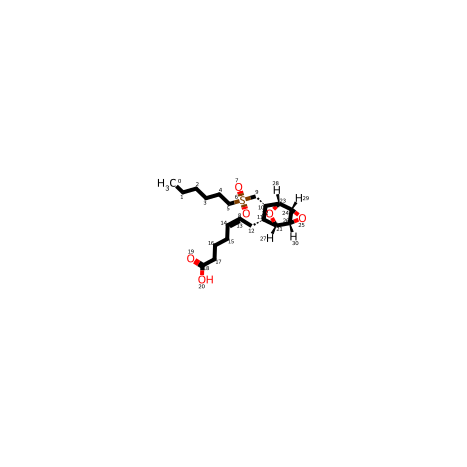 CCCCCCS(=O)(=O)C[C@H]1[C@@H](C/C=C\CCCC(=O)O)[C@@H]2O[C@H]1[C@@H]1O[C@@H]12